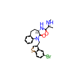 CN[C@@H](C)C(=O)N[C@H]1CCc2ccccc2N(Cc2csc3ccc(Br)cc23)C1=O